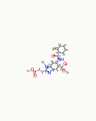 COC(=O)CCc1nc2cc(C(=O)OC)c(NC(=O)c3ccccc3F)cc2n1C